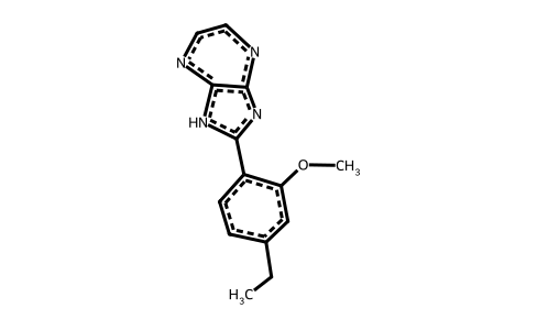 CCc1ccc(-c2nc3nccnc3[nH]2)c(OC)c1